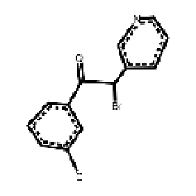 O=C(c1cccc(Cl)c1)C(Br)c1cccnc1